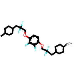 CCCC1CCC(CC(F)(F)COc2ccc(OCC(F)(F)CC3CCC(C)CC3)c(F)c2F)CC1